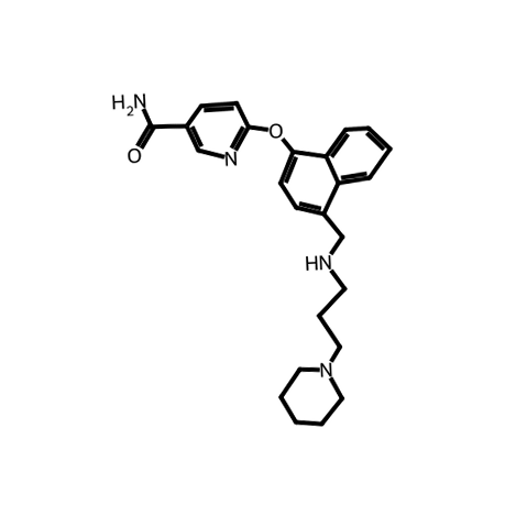 NC(=O)c1ccc(Oc2ccc(CNCCCN3CCCCC3)c3ccccc23)nc1